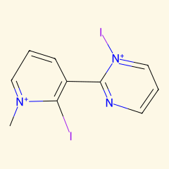 C[n+]1cccc(-c2nccc[n+]2I)c1I